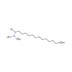 CCCCCCCCCCCCCCCCCCCCCCC(CC)N(CCC)CCCC